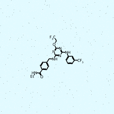 CCNC(=O)c1ccc(CNc2nc(Nc3cccc(C(F)(F)F)c3)nc(OCC(F)(F)F)n2)cc1